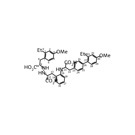 CCc1cc(OC)ccc1C[C@H](NN[C@@H](Cc1ccccc1NC(Cc1ccc(-c2ccc(OC)cc2CC)cc1)C(=O)O)C(=O)O)C(=O)O